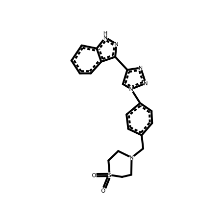 O=S1(=O)CCN(Cc2ccc(-n3cc(-c4n[nH]c5ccccc45)nn3)cc2)CC1